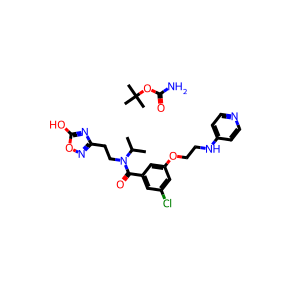 CC(C)(C)OC(N)=O.CC(C)N(CCc1noc(O)n1)C(=O)c1cc(Cl)cc(OCCNc2ccncc2)c1